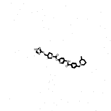 CC1CCCN(Cc2ccc(C(=O)Nc3ccc(OC(=O)N4CCC(CSc5nc[nH]n5)CC4)nc3)cc2)C1